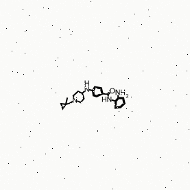 CC1(CN2CCC(Nc3ccc(C(=O)Nc4ccccc4N)cc3)CC2)CC1